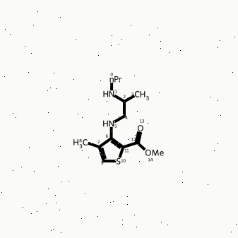 CCCNC(C)CNc1c(C)csc1C(=O)OC